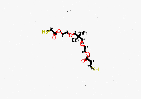 CCCC(CC)(COCCOC(=O)CS)COCCOC(=O)CCS